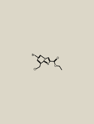 CCOC(=O)c1cn2cc(Br)cc(CCl)c2n1